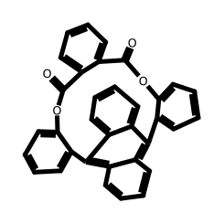 O=c1oc2ccccc2c2c3ccccc3c(c3ccccc3oc(=O)c3ccccc13)c1ccccc12